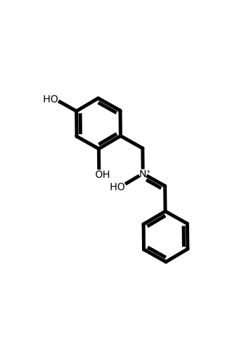 Oc1ccc(C/[N+](O)=C/c2ccccc2)c(O)c1